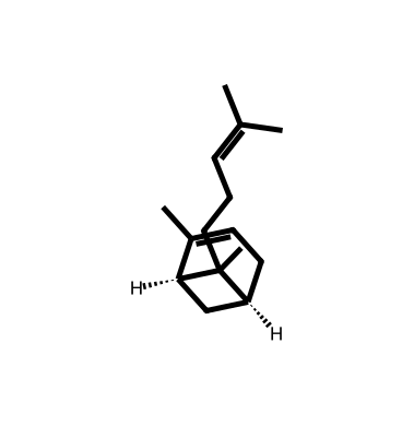 CC(C)=CCCC1(C)[C@H]2CC=C(C)[C@@H]1C2